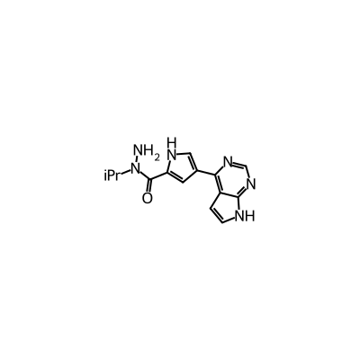 CC(C)N(N)C(=O)c1cc(-c2ncnc3[nH]ccc23)c[nH]1